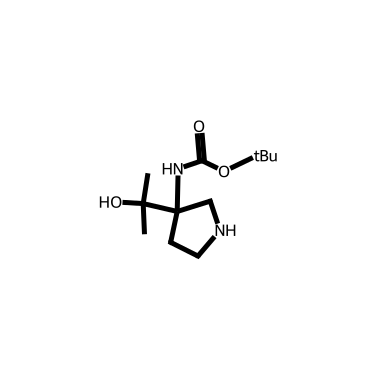 CC(C)(C)OC(=O)NC1(C(C)(C)O)CCNC1